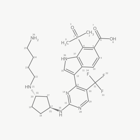 CP(C)(=O)c1c(C(=O)O)ccc2c(-c3nc(N[C@H]4CC[C@H](NCCCCN)C4)ncc3C(F)(F)F)c[nH]c12